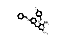 Nc1cc(Cc2cccc(OCc3ccccc3)c2)c(N=Nc2ccc(Cl)cc2)c(N)n1